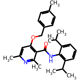 Cc1ccc(COc2cc(C)nc(C)c2C(=O)Nc2c(C(C)C)cccc2C(C)C)cc1